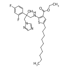 CCCCCCCCCCc1cc(C(=O)OCC)c(NCC(O)(Cn2cncn2)c2ccc(F)cc2F)s1